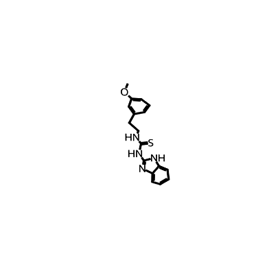 COc1cccc(CCNC(=S)Nc2nc3ccccc3[nH]2)c1